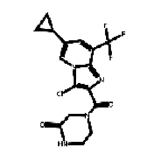 O=C1CN(C(=O)c2nc3c(C(F)(F)F)cc(C4CC4)cn3c2Cl)CCN1